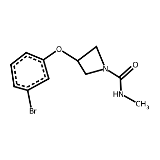 CNC(=O)N1CC(Oc2cccc(Br)c2)C1